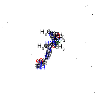 CCOc1cc(N2CCC(N3CCN(CCc4cccc5c4oc(=O)n5C4CCCNC4)CC3)CC2)c(CC)cc1Nc1ncc(Br)c(Nc2ccc3nc(CC)ccc3c2P(C)(C)=O)n1